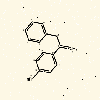 C=C(Cc1ccccc1)c1ccc(CCC)cc1